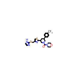 O=C(N1CCOCC1)N1CC(c2ccc(C(F)(F)F)cc2)CC(c2nc(CSc3ncc[nH]3)cs2)C1